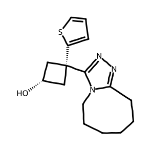 O[C@H]1C[C@](c2cccs2)(c2nnc3n2CCCCCC3)C1